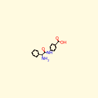 NC(C(=O)Nc1ccc(C(=O)O)cc1)c1ccccc1